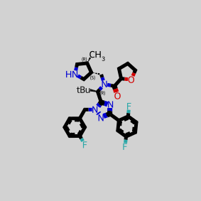 C[C@H]1CNC[C@H]1CN(C(=O)C1CCCO1)[C@@H](c1nc(-c2cc(F)ccc2F)nn1Cc1cccc(F)c1)C(C)(C)C